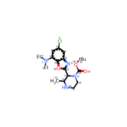 CCN(CC)c1cc(Cl)cc2nc(C3C(C)NCCN3C(=O)OC(C)(C)C)oc12